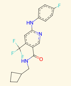 O=C(NCC1CCC1)c1cnc(Nc2ccc(F)cc2)cc1C(F)(F)F